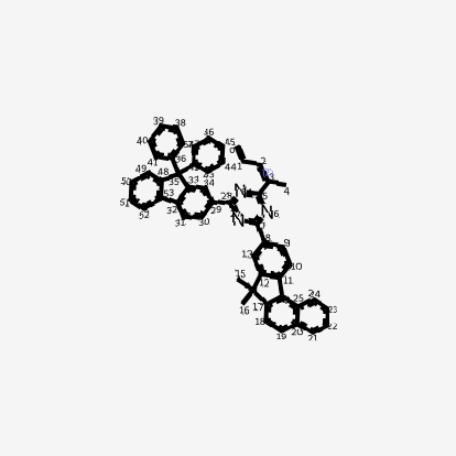 C=C/C=C(/C)c1nc(-c2ccc3c(c2)C(C)(C)c2ccc4ccccc4c2-3)nc(-c2ccc3c(c2)C(c2ccccc2)(c2ccccc2)c2ccccc2-3)n1